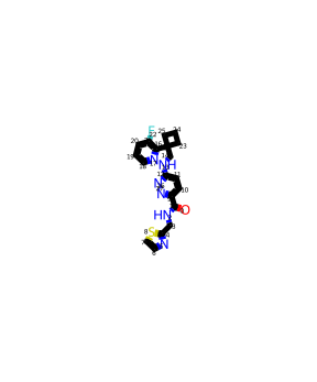 O=C(NCc1nccs1)c1ccc(NCC2(c3ncccc3F)CCC2)nn1